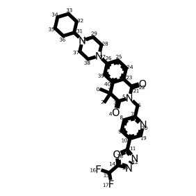 CC1(C)C(=O)N(Cc2ccc(-c3nnc(C(F)F)o3)cn2)C(=O)c2ccc(N3CCN(C4CCCCC4)CC3)cc21